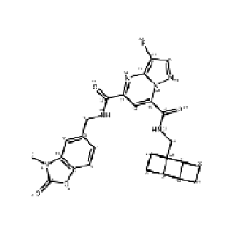 Cn1c(=O)oc2ccc(CNC(=O)c3cc(C(=O)NCC45C6C7C8C6C4C8C75)n4ncc(F)c4n3)cc21